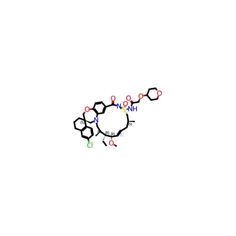 CC[C@H]1[C@@H](OC)/C=C/C[C@H](C)CS(=O)(NC(=O)COC2CCOCC2)=NC(=O)c2ccc3c(c2)N(C[C@@H]1C)C[C@@]1(CCCc2cc(Cl)ccc21)CO3